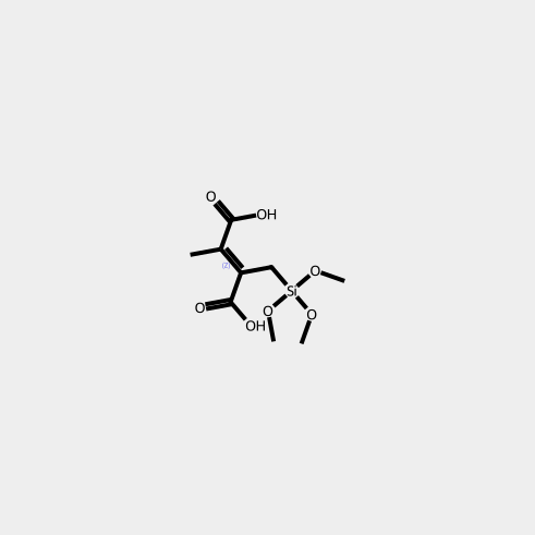 CO[Si](C/C(C(=O)O)=C(/C)C(=O)O)(OC)OC